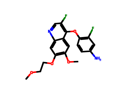 COCCOc1cc2ncc(F)c(Oc3ccc(N)cc3F)c2cc1OC